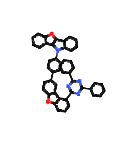 c1ccc(-c2nc(-c3ccccc3)nc(-c3cccc4oc5ccc(-c6ccc(-n7c8ccccc8c8oc9ccccc9c87)cc6)cc5c34)n2)cc1